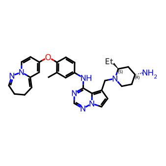 CC[C@H]1C[C@H](N)CCN1Cc1ccn2ncnc(Nc3ccc(OC4=CC5=CCCC=NN5C=C4)c(C)c3)c12